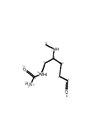 CNC(CCC=O)CNC(N)=O